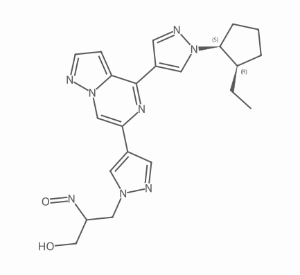 CC[C@@H]1CCC[C@@H]1n1cc(-c2nc(-c3cnn(CC(CO)N=O)c3)cn3nccc23)cn1